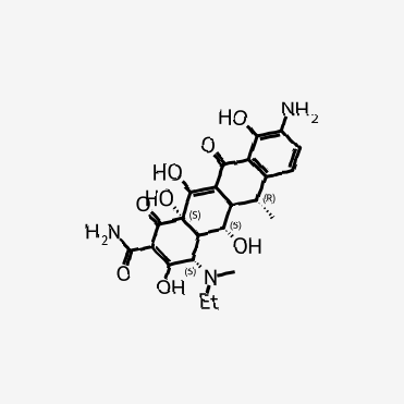 CCN(C)[C@@H]1C(O)=C(C(N)=O)C(=O)[C@@]2(O)C(O)=C3C(=O)c4c(ccc(N)c4O)[C@H](C)C3[C@H](O)C12